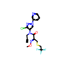 C#CCN(C(=O)C(CSCC(F)(F)F)=NOC)c1cn(-c2cccnc2)nc1Cl